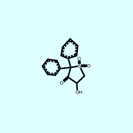 O=C1C(O)CS(=O)(=O)C1(c1ccccc1)c1ccccc1